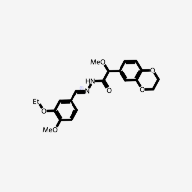 CCOc1cc(/C=N/NC(=O)C(OC)c2ccc3c(c2)OCCO3)ccc1OC